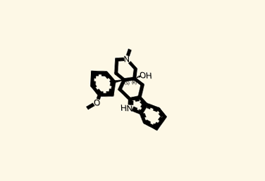 COc1cccc([C@@]23CCN(C)C[C@@]2(O)Cc2c([nH]c4ccccc24)C3)c1